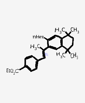 CCCCCCc1cc2c(cc1/C(C)=C/c1ccc(C(=O)OCC)cc1)C(C)(C)CCC2(C)C